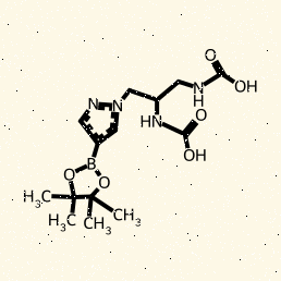 CC1(C)OB(c2cnn(CC(CNC(=O)O)NC(=O)O)c2)OC1(C)C